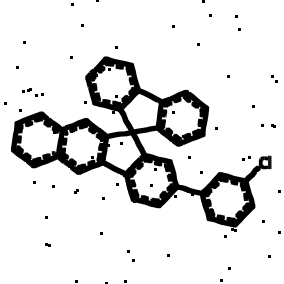 Clc1cccc(-c2ccc3c(c2)C2(c4ccccc4-c4ccccc42)c2cc4ccccc4cc2-3)c1